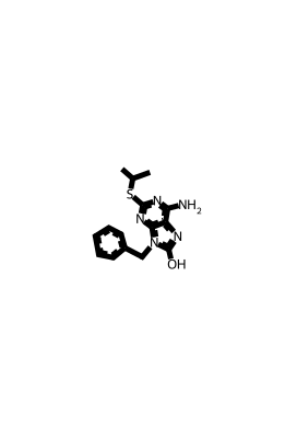 CC(C)Sc1nc(N)c2nc(O)n(Cc3ccccc3)c2n1